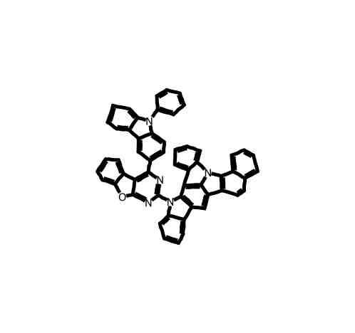 c1ccc(-n2c3ccccc3c3cc(-c4nc(-n5c6ccccc6c6cc7c8ccc9ccccc9c8n8c9ccccc9c(c65)c78)nc5oc6ccccc6c45)ccc32)cc1